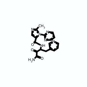 Cc1ncc(C(=O)NC(Cc2cccnc2)C(=O)C(N)=O)n1-c1ncccn1